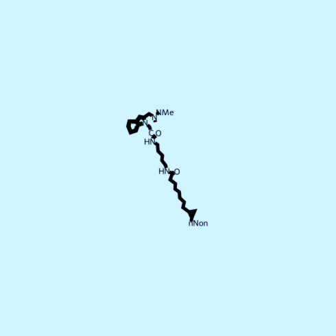 CCCCCCCCCC1CC1CCCCCCCC(=O)NCCCCCNC(=O)CCn1c(CN(C)NC)cc2ccccc21